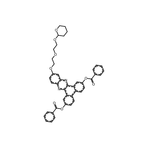 O=C(Oc1ccc2c3ccc(OC(=O)c4ccccc4)cc3c3nc4cc(OCCOCCOC5CCCCO5)ccc4nc3c2c1)c1ccccc1